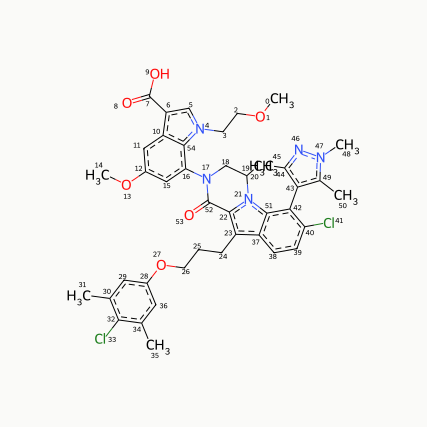 COCCn1cc(C(=O)O)c2cc(OC)cc(N3CC(C)n4c(c(CCCOc5cc(C)c(Cl)c(C)c5)c5ccc(Cl)c(-c6c(C)nn(C)c6C)c54)C3=O)c21